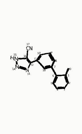 Cc1ccccc1-c1cccc(-c2nn[nH]c2C#N)c1